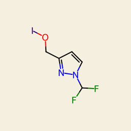 FC(F)n1ccc(COI)n1